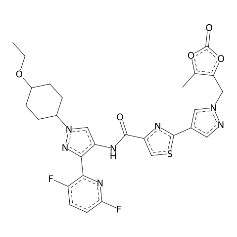 CCOC1CCC(n2cc(NC(=O)c3csc(-c4cnn(Cc5oc(=O)oc5C)c4)n3)c(-c3nc(F)ccc3F)n2)CC1